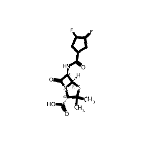 CC1(C)S[C@@H]2[C@H](NC(=O)C3CC(F)C(F)C3)C(=O)N2[C@H]1C(=O)O